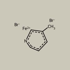 Cc1cccnc1.[Br-].[Br-].[Fe+2]